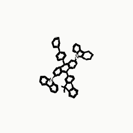 CC1(C)c2ccccc2-c2ccc(-c3c4ccc(-n5c6c(c7ccccc75)CCC=C6)cc4c(-c4ccc(-c5ccccc5)cc4)c4ccc(-n5c6ccccc6c6ccccc65)cc34)cc21